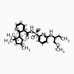 CCC(COC)Nc1cccc(S(=O)(=O)NC(=O)c2cccnc2C2CC(C)CC2(C)C)n1